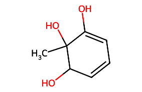 CC1(O)C(O)=CC=CC1O